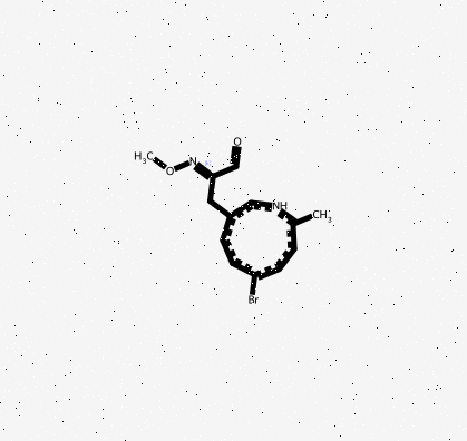 CO/N=C(/C=O)Cc1ccc(Br)ccc(C)[nH]c1